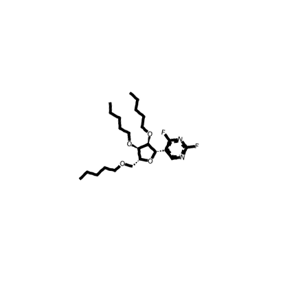 CCCCCOC[C@H]1O[C@@H](c2cnc(F)nc2F)[C@H](OCCCCC)[C@@H]1OCCCCC